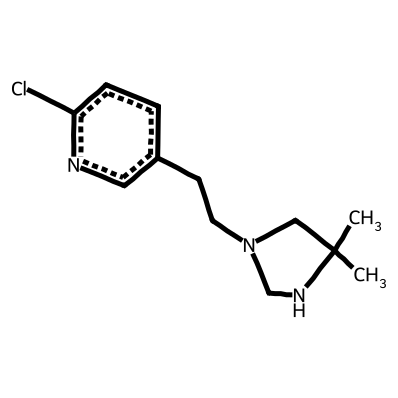 CC1(C)CN(CCc2ccc(Cl)nc2)CN1